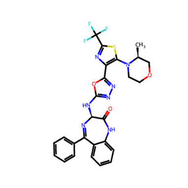 C[C@H]1COCCN1c1sc(C(F)(F)F)nc1-c1nnc(N[C@@H]2N=C(c3ccccc3)c3ccccc3NC2=O)o1